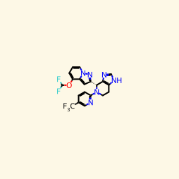 FC(F)Oc1cccn2nc([C@@H]3c4nc[nH]c4CCN3c3ccc(C(F)(F)F)cn3)cc12